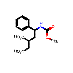 CC(C)(C)OC(=O)NC(CC(CC(=O)O)C(=O)O)c1ccccc1